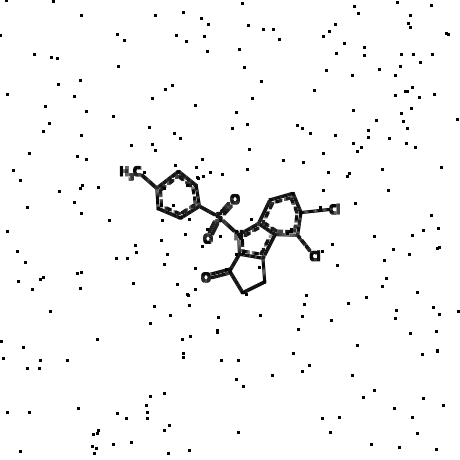 Cc1ccc(S(=O)(=O)n2c3c(c4c(Cl)c(Cl)ccc42)CCC3=O)cc1